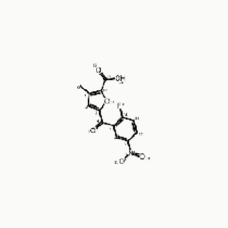 Cc1cc(C(=O)c2cc([N+](=O)[O-])ccc2F)oc1C(=O)O